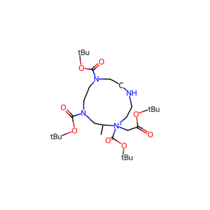 CC1CN(C(=O)OC(C)(C)C)CCN(C(=O)OC(C)(C)C)CCNCC[N+]1(CC(=O)OC(C)(C)C)C(=O)OC(C)(C)C